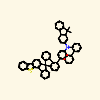 CC1(C)c2ccccc2C2C=CC(N(c3ccc(-c4cccc5c4-c4ccccc4C54c5ccccc5-c5c4ccc4c5sc5ccccc54)cc3)c3ccccc3-c3ccccc3)=CC21